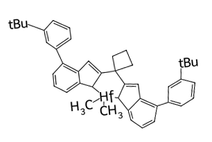 CC(C)(C)c1cccc(-c2cccc3c2C=C2[CH]3[Hf]([CH3])([CH3])[CH]3C(=Cc4c(-c5cccc(C(C)(C)C)c5)cccc43)C23CCC3)c1